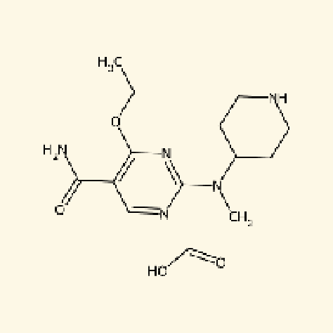 CCOc1nc(N(C)C2CCNCC2)ncc1C(N)=O.O=CO